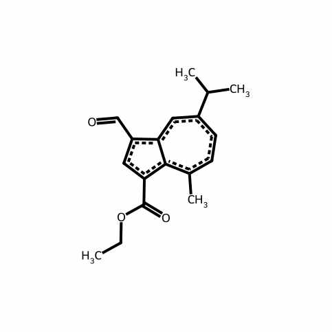 CCOC(=O)c1cc(C=O)c2cc(C(C)C)ccc(C)c1-2